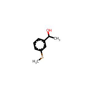 CSc1cccc(C(C)O)c1